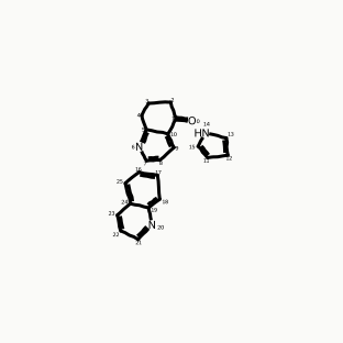 O=C1CCCc2ncccc21.c1cc[nH]c1.c1ccc2ncccc2c1